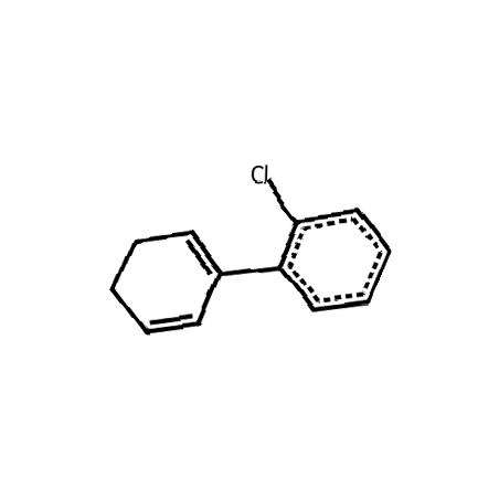 Clc1ccccc1C1=CCCC=C1